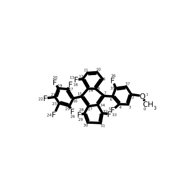 COc1cc(F)c(-c2c3cccc(F)c3c(-c3c(F)c(F)c(F)c(F)c3F)c3c(F)ccc(F)c23)c(F)c1